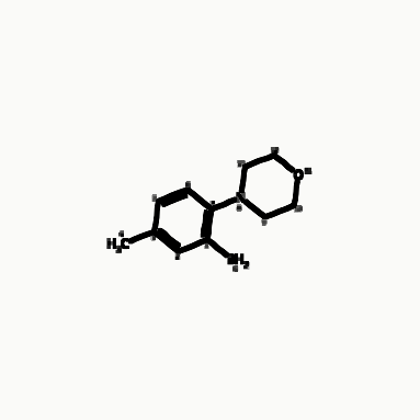 Bc1cc(C)ccc1N1CCOCC1